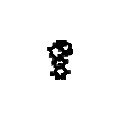 CNC1CCCC(C)N(Cc2cccnc2)C1=O